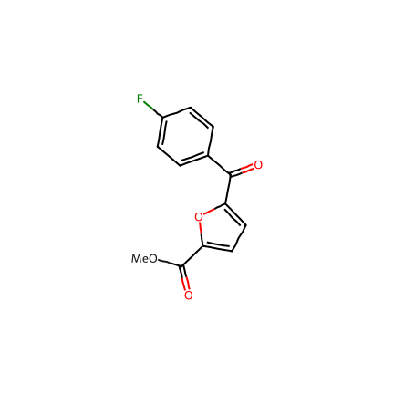 COC(=O)c1ccc(C(=O)c2ccc(F)cc2)o1